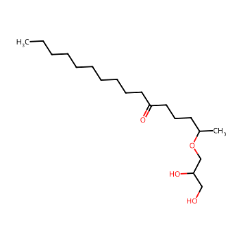 CCCCCCCCCCC(=O)CCCC(C)OCC(O)CO